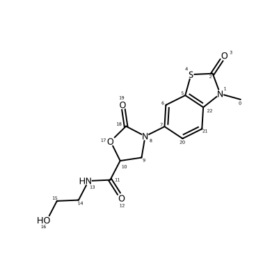 Cn1c(=O)sc2cc(N3CC(C(=O)NCCO)OC3=O)ccc21